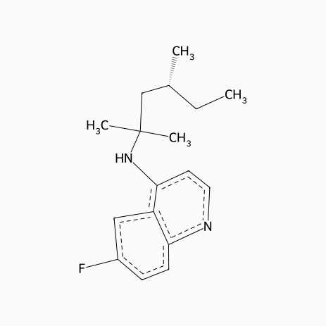 CC[C@@H](C)CC(C)(C)Nc1ccnc2ccc(F)cc12